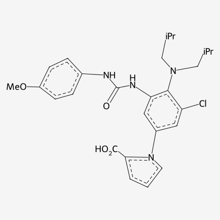 COc1ccc(NC(=O)Nc2cc(-n3cccc3C(=O)O)cc(Cl)c2N(CC(C)C)CC(C)C)cc1